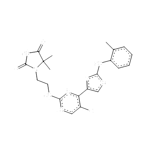 Cc1ccccc1Nc1ncc(-c2nc(NCCN3C(=O)NC(=O)C3(C)C)ncc2Cl)s1